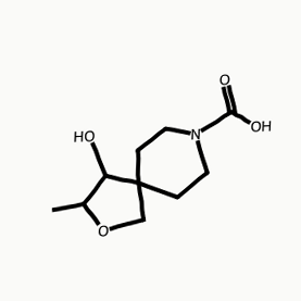 CC1OCC2(CCN(C(=O)O)CC2)C1O